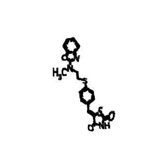 CN(CCSc1ccc(/C=C2\SC(=O)NC2=O)cc1)c1nc2ccccc2o1